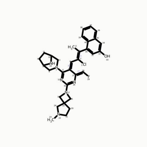 C\C(=C(Cl)/C=c1/c(N2CC3CCC(C2)N3)nc(N2CC3(CCN(C)C3)C2)n/c1=C\F)c1cc(O)cc2ccccc12